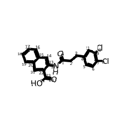 O=C(CCc1ccc(Cl)c(Cl)c1)Nc1cc2ccccc2cc1C(=O)O